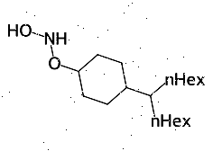 CCCCCCC(CCCCCC)C1CCC(ONO)CC1